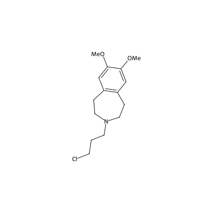 COc1cc2c(cc1OC)CCN(CCCCl)CC2